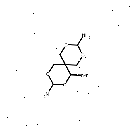 CCCC1OC(N)OCC12COC(N)OC2